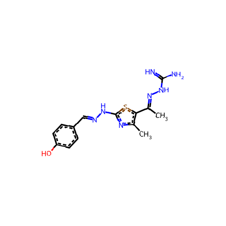 CC(=NNC(=N)N)c1sc(NN=Cc2ccc(O)cc2)nc1C